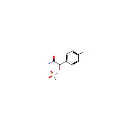 COc1ccc(C(OS(C)(=O)=O)C(N)=O)cc1